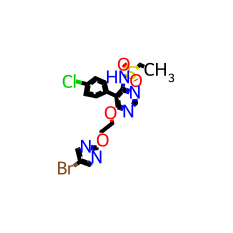 CCS(=O)(=O)Nc1ncnc(OCCOc2ncc(Br)cn2)c1-c1ccc(Cl)cc1